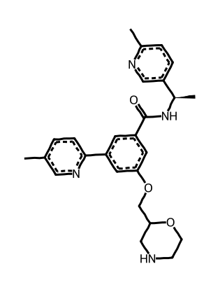 Cc1ccc(-c2cc(OCC3CNCCO3)cc(C(=O)N[C@H](C)c3ccc(C)nc3)c2)nc1